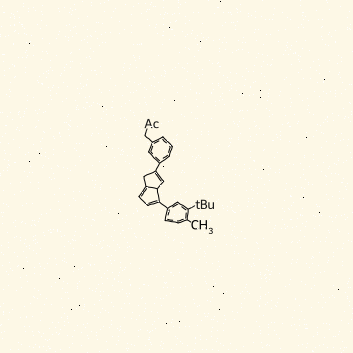 CC(=O)Cc1cccc(C2=CC3C(=CC=C3c3ccc(C)c(C(C)(C)C)c3)C2)c1